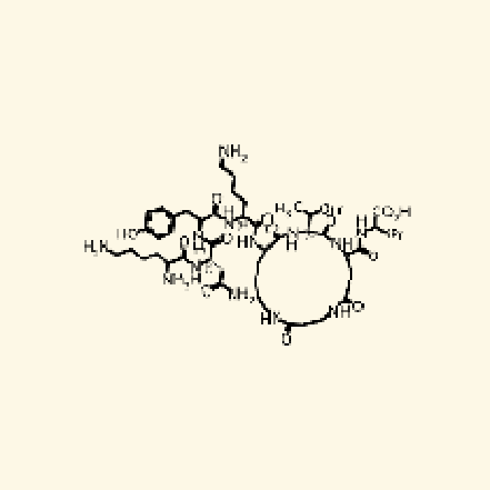 CC(C)C(NC(=O)C1CCC(=O)NCCC(=O)NCCCCC(NC(=O)[C@H](CCCCN)NC(=O)C(Cc2ccc(O)cc2)NC(=O)[C@H](CC(N)=O)NC(=O)C(N)CCCCN)C(=O)N[C@@H](C(C)O)C(=O)N1)C(=O)O